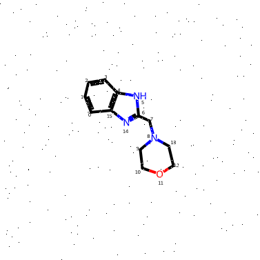 [c]1cccc2[nH]c(CN3CCOCC3)nc12